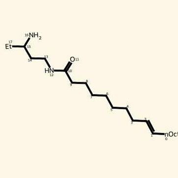 CCCCCCCCC=CCCCCCCCC(=O)NCCC(N)CC